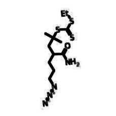 CCSC(=S)SC(C)(C)CC(CCCN=[N+]=[N-])C(N)=O